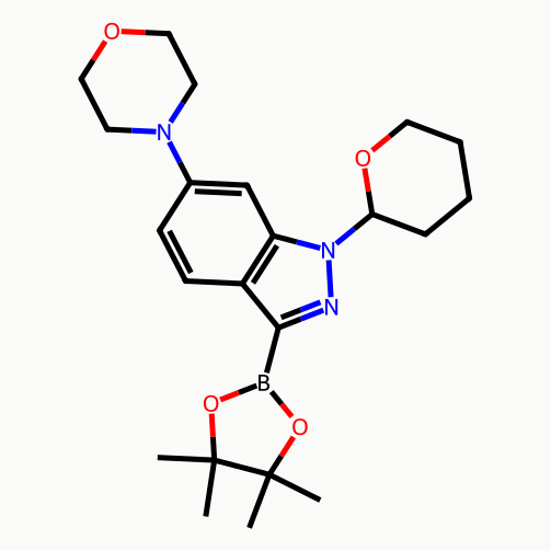 CC1(C)OB(c2nn(C3CCCCO3)c3cc(N4CCOCC4)ccc23)OC1(C)C